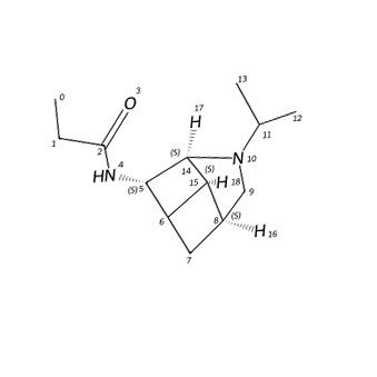 CCC(=O)N[C@H]1C2C[C@@H]3CN(C(C)C)[C@H]1[C@H]23